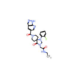 O=C(CN1CN(c2ccccc2F)C2(CCN(C(=O)c3cnc4[nH]ncc4c3)CC2)C1=O)NCC(F)(F)F